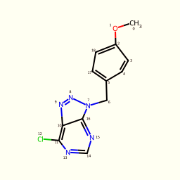 COc1ccc(Cn2nnc3c(Cl)ncnc32)cc1